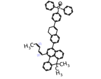 C/C=C\C=C/c1cc(-c2ccc3c(c2)CCC(c2ccc(P(=O)(c4ccccc4)c4ccccc4)cc2)=C3)c2cccc3c2c1-c1ccccc1C3(C)C